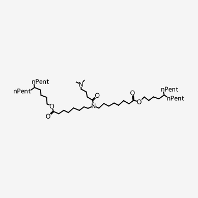 CCCCCC(CCCCC)CCCCOC(=O)CCCCCCCN(CCCCCCCC(=O)OCCCCC(CCCCC)CCCCC)C(=O)CCCN(C)C